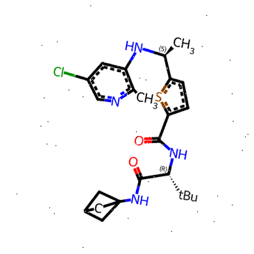 Cc1ncc(Cl)cc1N[C@@H](C)c1ccc(C(=O)N[C@@H](C(=O)NC23CC(C2)C3)C(C)(C)C)s1